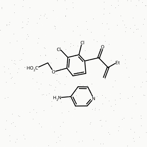 C=C(CC)C(=O)c1ccc(OCC(=O)O)c(Cl)c1Cl.Nc1ccncc1